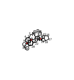 CCCN1Cc2ccccc2CC1C(=O)NC1C2CCC1CN(CCc1ccc3c(c1)OCO3)C2